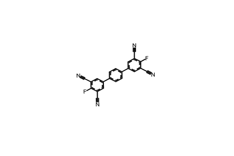 N#Cc1cc(-c2ccc(-c3cc(C#N)c(F)c(C#N)c3)cc2)cc(C#N)c1F